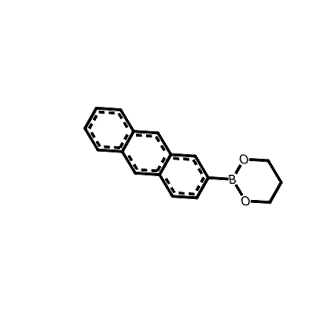 c1ccc2cc3cc(B4OCCCO4)ccc3cc2c1